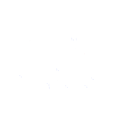 CCCn1cc2c(C3C(=O)Nc4ccc(Br)cc43)nc(NCCN(C)C)nc2n1